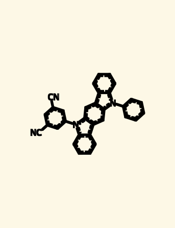 N#Cc1cc(C#N)cc(-n2c3ccccc3c3cc4c(cc32)c2ccccc2n4-c2ccccc2)c1